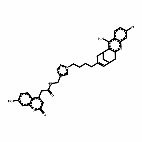 Nc1c2c(nc3cc(Cl)ccc13)CC1C=C(CCCCn3cc(CNC(=O)Cc4cc(=O)oc5cc(O)ccc45)nn3)CC2C1